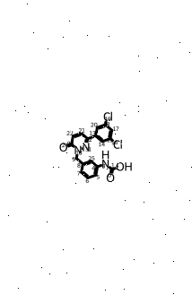 O=C(O)Nc1cccc(Cn2nc(-c3cc(Cl)cc(Cl)c3)ccc2=O)c1